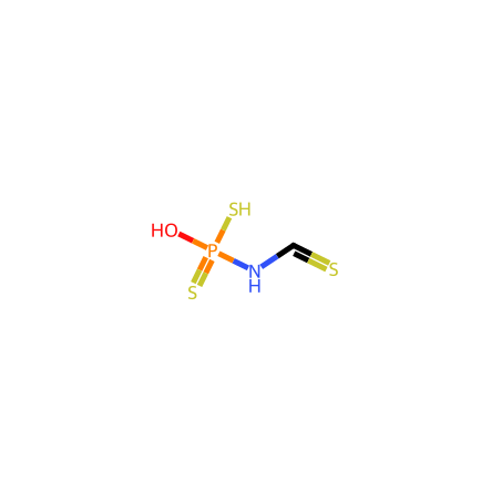 OP(=S)(S)NC=S